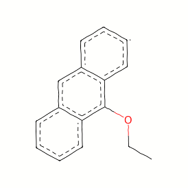 CCOc1c2c[c]ccc2cc2ccccc12